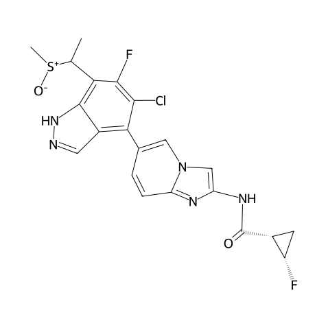 CC(c1c(F)c(Cl)c(-c2ccc3nc(NC(=O)[C@@H]4C[C@@H]4F)cn3c2)c2cn[nH]c12)[S+](C)[O-]